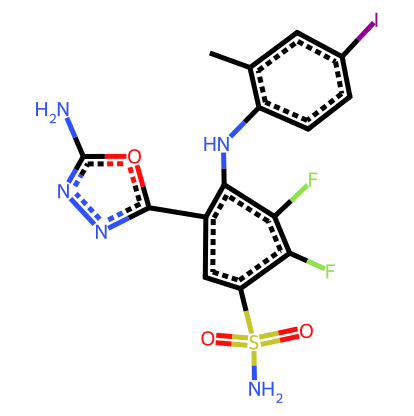 Cc1cc(I)ccc1Nc1c(-c2nnc(N)o2)cc(S(N)(=O)=O)c(F)c1F